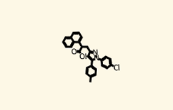 Cc1ccc(-c2cc(CC(C(=O)O)c3cccc4ccccc34)nn2-c2ccc(Cl)cc2)cc1